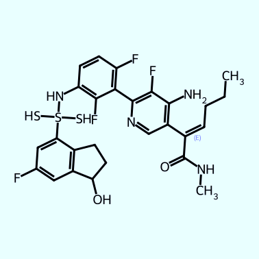 CCC/C=C(/C(=O)NC)c1cnc(-c2c(F)ccc(NS(S)(S)c3cc(F)cc4c3CCC4O)c2F)c(F)c1N